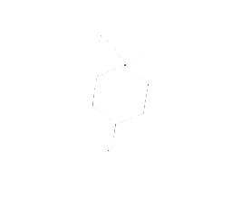 CC(=O)C1(C)CCC(N)CC1